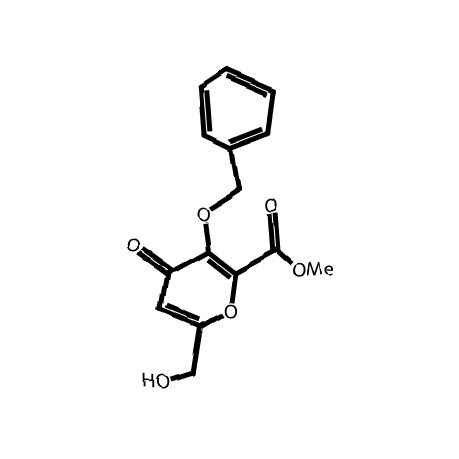 COC(=O)c1oc(CO)cc(=O)c1OCc1ccccc1